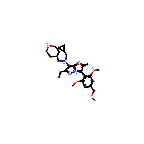 CCc1nn2c(-c3c(OC)cc(COC)cc3OC)c(C)oc2c1N(CC1CCOCC1)CC1CC1